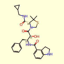 CC1(C)SCN(C(=O)[C@@H](O)[C@H](Cc2ccccc2)NC(=O)c2cccc3c2CCN3)[C@@H]1C(=O)NCC1CC1